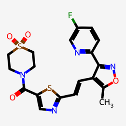 Cc1onc(-c2ccc(F)cn2)c1C=Cc1ncc(C(=O)N2CCS(=O)(=O)CC2)s1